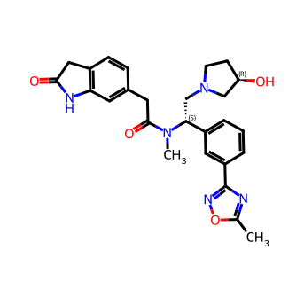 Cc1nc(-c2cccc([C@@H](CN3CC[C@@H](O)C3)N(C)C(=O)Cc3ccc4c(c3)NC(=O)C4)c2)no1